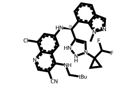 Cn1ncc2cccc([C@H](Nc3cc(Cl)c4ncc(C#N)c(NCC(C)(C)C)c4c3)C3=CN(C4(C(F)F)CC4)NN3)c21